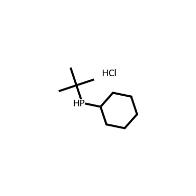 CC(C)(C)PC1CCCCC1.Cl